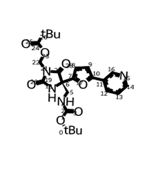 CC(C)(C)OC(=O)NC[C@@]1(c2ccc(-c3cccnc3)o2)NC(=O)N(COC(=O)C(C)(C)C)C1=O